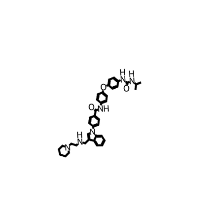 CC(C)NC(=O)Nc1ccc(Oc2ccc(NC(=O)c3ccc(-n4cc(CNCCN5CCCCC5)c5ccccc54)cc3)cc2)cc1